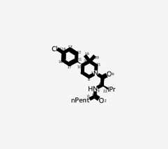 CCCCCC(=O)N[C@@H](C(=O)N1CC[C@H](c2ccc(Cl)cc2)C(C)(C)C1)C(C)C